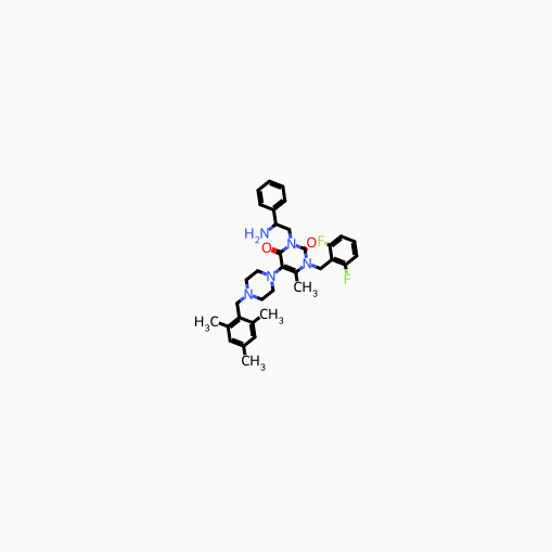 Cc1cc(C)c(CN2CCN(c3c(C)n(Cc4c(F)cccc4F)c(=O)n(CC(N)c4ccccc4)c3=O)CC2)c(C)c1